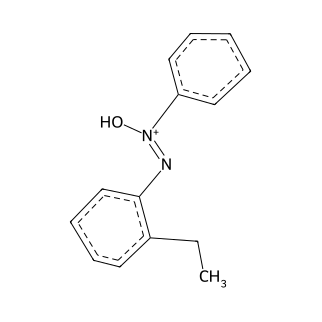 CCc1ccccc1N=[N+](O)c1ccccc1